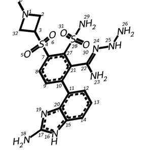 CN1CC(S(=O)(=O)c2ccc(-c3cccc4[nH]c(N)nc34)c(/C(N)=N/NN)c2S(N)(=O)=O)C1